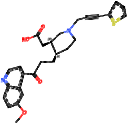 COc1ccc2nccc(C(=O)CC[C@@H]3CCN(CC#Cc4cccs4)C[C@@H]3CC(=O)O)c2c1